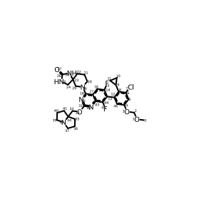 COCOc1cc(Cl)c(C2CC2)c(-c2c(F)cc3c(N4CCCC5(CNC(=O)N5)C4)nc(OCC45CCCN4CCC5)nc3c2F)c1